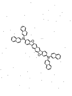 c1ccc2cc(N(c3ccc4ccccc4c3)c3ccc4c(c3)oc3cc5cc6c(cc5cc34)oc3cc(N(c4ccc5ccccc5c4)c4ccc5ccccc5c4)ccc36)ccc2c1